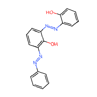 Oc1ccccc1N=Nc1cccc(N=Nc2ccccc2)c1O